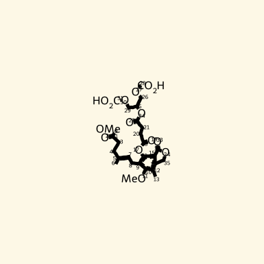 COC(=O)CC/C(C)=C/Cc1c(OC)c(C)c2c(c1OC(=O)CCC(=O)OC(COC(=O)O)COC(=O)O)C(=O)OC2